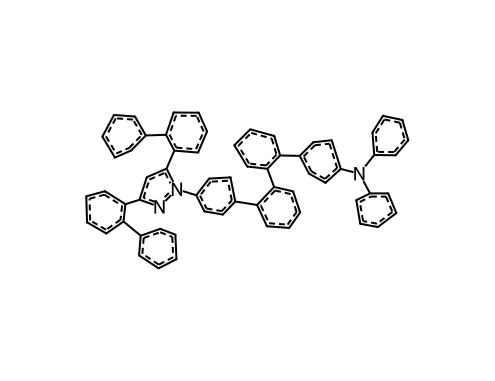 c1ccc(-c2ccccc2-c2cc(-c3ccccc3-c3ccccc3)n(-c3ccc(-c4ccccc4-c4ccccc4-c4ccc(N(c5ccccc5)c5ccccc5)cc4)cc3)n2)cc1